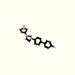 Fc1ccc(-c2ccc(N3C=CN([C@H]4CCNC4)C3)cc2)cc1